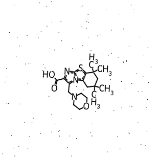 CC1(C)Cc2c(sc3nc(C(=O)O)c(CN4CCOCC4)n23)C(C)(C)C1